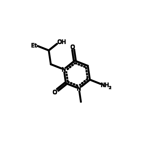 CCC(O)Cn1c(=O)cc(N)n(C)c1=O